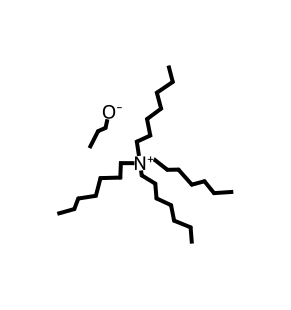 CCCCCCC[N+](CCCCCCC)(CCCCCCC)CCCCCCC.CCC[O-]